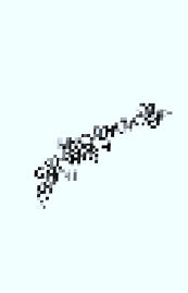 C=CC(=O)Nc1cc(Nc2nc(-c3ccnc(N4CCn5c(cc6c5CC(C)(C)C6)C4=O)c3CO)cn(C)c2=O)ccc1N1CCN(C2CCN(c3ccc(S(=O)(=O)C(C)C)c(C(F)(F)F)c3)[C@H](C)C2)C[C@@H]1C